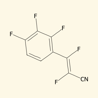 N#CC(F)=C(F)c1ccc(F)c(F)c1F